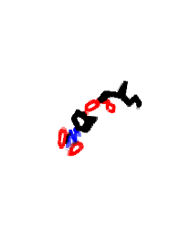 CCCC(C)CC(=O)Oc1ccc([N+](=O)[O-])cc1